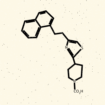 O=C(O)N1CCC(c2nc(CCc3cccc4ccccc34)cs2)CC1